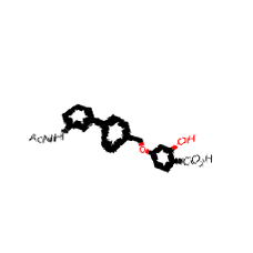 CC(=O)Nc1cccc(-c2ccc(COc3ccc(C(=O)O)c(O)c3)cc2)c1